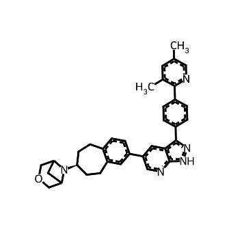 Cc1cnc(-c2ccc(-c3n[nH]c4ncc(-c5ccc6c(c5)CC[C@@H](N5C7COCC5C7)CC6)cc34)cc2)c(C)c1